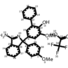 COc1ccc(C2(c3cc(OC)c(O)c(-c4ccccc4)c3)N=C(N)c3ccccc32)cc1.O=C(O)C(F)(F)F